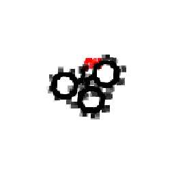 OC[Si](C1CC/C=C\CCC1)(C1CC/C=C\CCC1)C1CC/C=C\CCC1